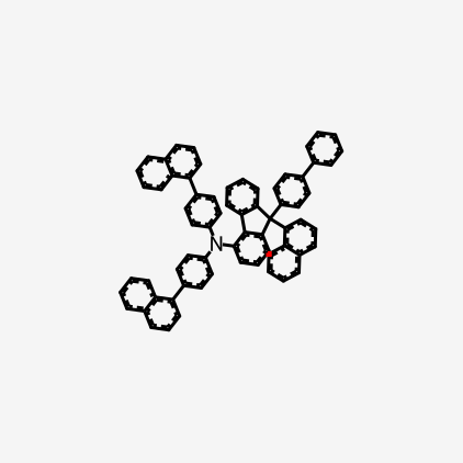 c1ccc(-c2ccc(C3(c4cccc5ccccc45)c4ccccc4-c4c(N(c5ccc(-c6cccc7ccccc67)cc5)c5ccc(-c6cccc7ccccc67)cc5)cccc43)cc2)cc1